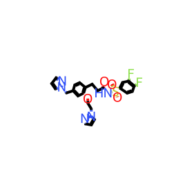 O=C(CCc1ccc(Cn2cccn2)cc1OCCn1cccn1)NS(=O)(=O)c1ccc(F)c(F)c1